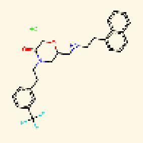 Cl.O=C1COC(CNCCc2cccc3ccccc23)CN1CCc1cccc(C(F)(F)F)c1